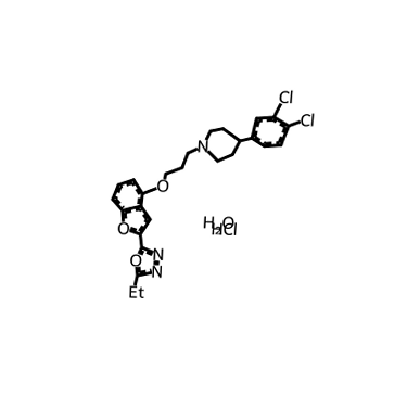 CCc1nnc(-c2cc3c(OCCCN4CCC(c5ccc(Cl)c(Cl)c5)CC4)cccc3o2)o1.Cl.O